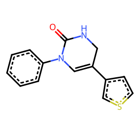 O=C1NCC(c2ccsc2)=CN1c1ccccc1